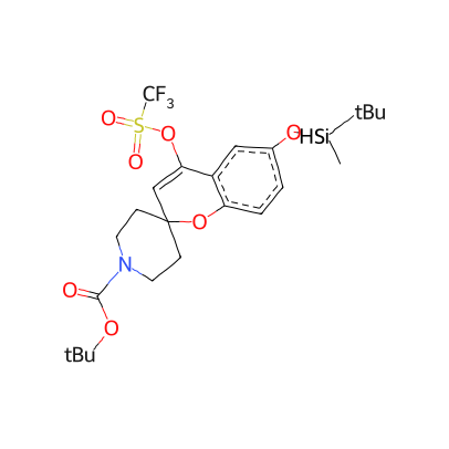 C[SiH](Oc1ccc2c(c1)C(OS(=O)(=O)C(F)(F)F)=CC1(CCN(C(=O)OC(C)(C)C)CC1)O2)C(C)(C)C